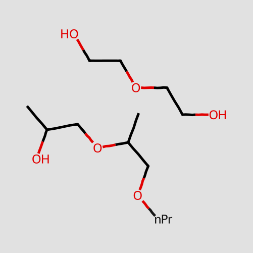 CCCOCC(C)OCC(C)O.OCCOCCO